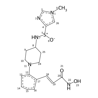 Cn1cnc([S+]([O-])NC2CCN(c3ccccc3/C=C/C(=O)NO)CC2)c1